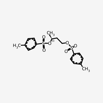 Cc1ccc(S(=O)(=O)OCC[C@H](C)OS(=O)(=O)c2ccc(C)cc2)cc1